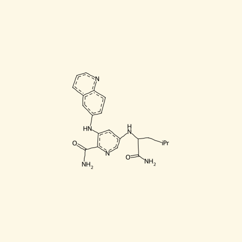 CC(C)CC(Nc1cnc(C(N)=O)c(Nc2ccc3ncccc3c2)c1)C(N)=O